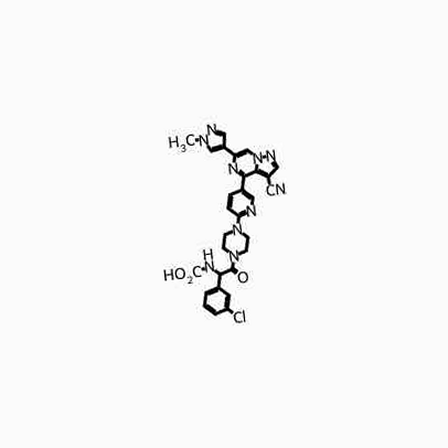 Cn1cc(-c2cn3ncc(C#N)c3c(-c3ccc(N4CCN(C(=O)C(NC(=O)O)c5cccc(Cl)c5)CC4)nc3)n2)cn1